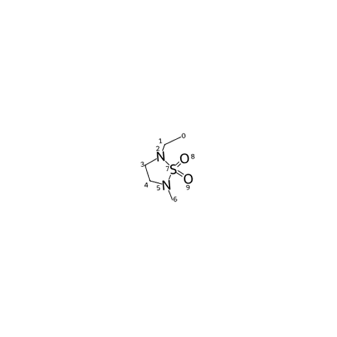 CCN1CCN(C)S1(=O)=O